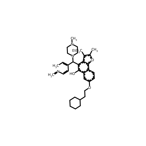 C=N/C=C\C(=C/C)C(c1c(O)c2cc(OCCC3CCCCC3)ccc2c2oc(C)c(C(=O)OCC)c12)N1CCN(C)CC1